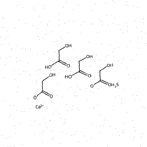 O=C(O)CO.O=C(O)CO.O=C([O-])CO.O=C([O-])CO.S.[Ca+2]